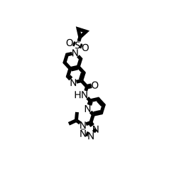 CC(C)n1nnnc1-c1cccc(NC(=O)c2cc3c(cn2)CCN(S(=O)(=O)C2CC2)C3)n1